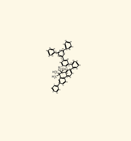 CC1(C)c2cc(-c3ccccc3)ccc2-c2ccc(-c3ccccc3-c3cccc(-c4nc(-c5ccccc5)nc(-c5ccccc5)n4)c3)cc2C1(C)C